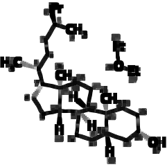 CC(C)[C@@H](C)CC[C@@H](C)[C@H]1CC[C@H]2[C@@H]3CC[C@H]4C[C@@H](O)CC[C@]4(C)[C@H]3CC[C@]12C.CCOCC